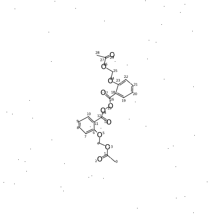 CC(=O)OCOc1ccccc1C(=O)OOC(=O)c1ccccc1OCOC(C)=O